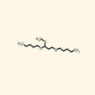 CCCCCOCCC(O[SiH3])OCCCCC